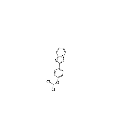 CCC(Cl)Oc1ccc(-c2cn3ccccc3n2)cc1